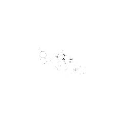 O=C(c1ccc(Cl)cc1)N1CC(=O)[N+](CC2CCN(C3CCCC3)CC2)(OC(=O)C(F)(F)F)c2ccccc2C1